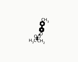 C=C(C)C(=O)OCOc1ccc(C2CCC(C)CC2)cc1